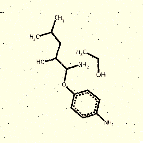 CC(C)CC(O)C(N)Oc1ccc(N)cc1.CCO